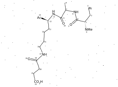 CN[C@@H](CC(C)C)C(=O)NC(C)C(=O)N[C@@H](CCCCNC(=O)CCC(=O)O)C(C)=O